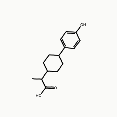 CC(C(=O)O)C1CCC(c2ccc(O)cc2)CC1